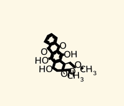 CC[C@@]1(O)C[C@H](O)c2c(O)c3c(c(O)c2[C@H]1CC(=O)OC)C(=O)c1ccccc1C3=O